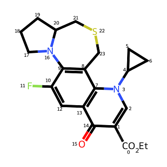 CCOC(=O)c1cn(C2CC2)c2c3c(c(F)cc2c1=O)N1CCCC1CSC3